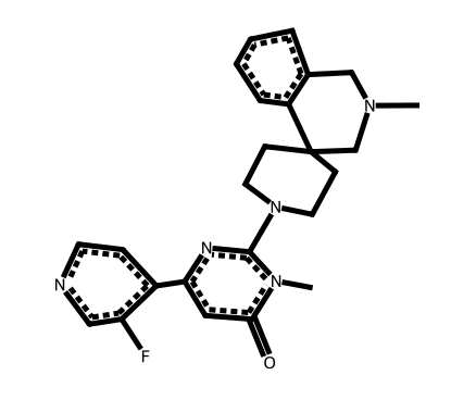 CN1Cc2ccccc2C2(CCN(c3nc(-c4ccncc4F)cc(=O)n3C)CC2)C1